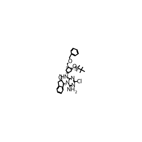 CO[C@H]1Cc2ccccc2[C@H]1N1C(N)=NC(Cl)=NC1N[C@@H]1C[C@@H](COCc2ccccc2)[C@@H](O[Si](C)(C)C(C)(C)C)C1